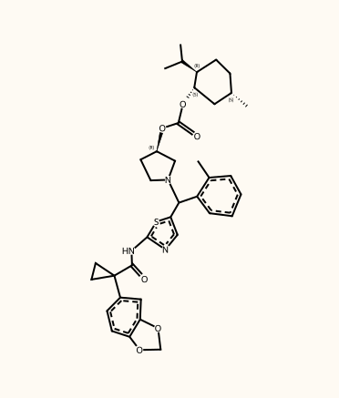 Cc1ccccc1C(c1cnc(NC(=O)C2(c3ccc4c(c3)OCO4)CC2)s1)N1CC[C@@H](OC(=O)O[C@H]2C[C@@H](C)CC[C@@H]2C(C)C)C1